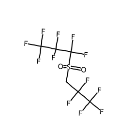 O=S(=O)(CC(F)(F)C(F)(F)F)C(F)(F)C(F)(F)C(F)(F)F